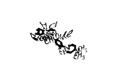 CCc1cc(Nc2ncc(Cl)c(Nc3ccc4nccnc4c3NS(C)(=O)=O)n2)c(OC)cc1N1CCC(N(C)C)CC1